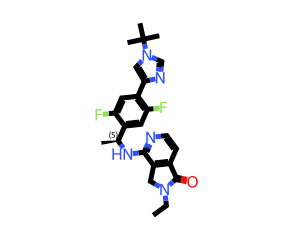 CCN1Cc2c(ccnc2N[C@@H](C)c2cc(F)c(-c3cn(C(C)(C)C)cn3)cc2F)C1=O